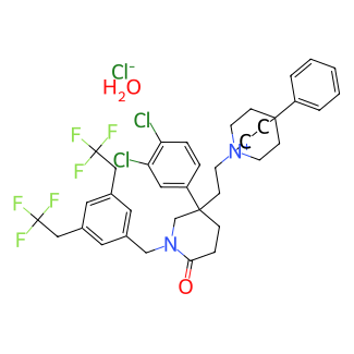 O.O=C1CCC(CC[N+]23CCC(c4ccccc4)(CC2)CC3)(c2ccc(Cl)c(Cl)c2)CN1Cc1cc(CC(F)(F)F)cc(CC(F)(F)F)c1.[Cl-]